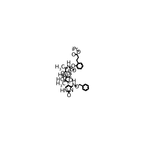 CC(C)OC(=O)CCc1ccccc1OP(=O)(N[C@@H](C)C(=O)OC(C)C)OC[C@H]1O[C@H](c2c[nH]c(=O)nc2NOCc2ccccc2)[C@](C)(O)[C@@H]1O